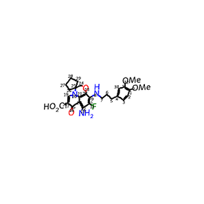 COc1ccc(CCCNc2c(F)c(N)c3c(=O)c(C(=O)O)cn4c3c2OCC42CCCC2)cc1OC